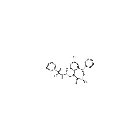 CCC(C)[C@@H]1N=C(c2ccccc2)c2cc(Cl)ccc2N(CC(=O)NS(=O)(=O)c2cccnc2)C1=O